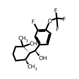 C[C@H]1CCCC(C)(C)[C@@H]1[C@H](O)c1ccc(OC(F)(F)F)c(F)c1